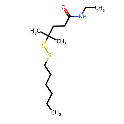 CCCCCCSSC(C)(C)CCC(=O)NCC